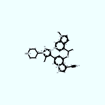 Cc1c(-c2cc(OC(C)c3cncc4c3ccn4C)c3c(C#N)cnn3c2)nnn1C1CCNCC1